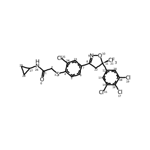 O=C(CSc1ccc(C2=NO[C@@](c3cc(Cl)c(Cl)c(Cl)c3)(C(F)(F)F)C2)cc1Cl)NC1CC1